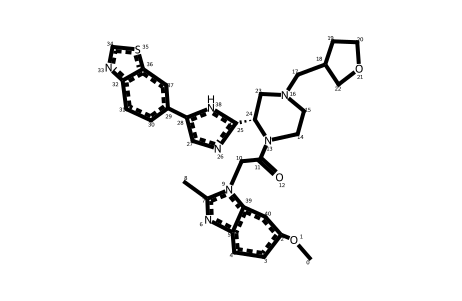 COc1ccc2nc(C)n(CC(=O)N3CCN(CC4CCOC4)C[C@H]3c3ncc(-c4ccc5ncsc5c4)[nH]3)c2c1